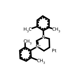 Cc1cccc(C)c1N1C=[N+](c2c(C)cccc2C)CCC1.[Pt]